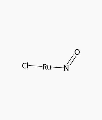 O=[N][Ru][Cl]